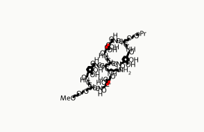 CCCOCCOCCN1CCNC(=O)c2ccc(c(O)c2O)C(=O)NCCN(CCN2CCNC(=O)c3ccc(c(O)c3O)C(=O)NCCN(CCOCCOCCOC)CCNC(=O)c3ccc(c(O)c3O)C(=O)NC(CCCCN)C2)CCNC(=O)c2ccc(c(O)c2O)C(=O)NCC1